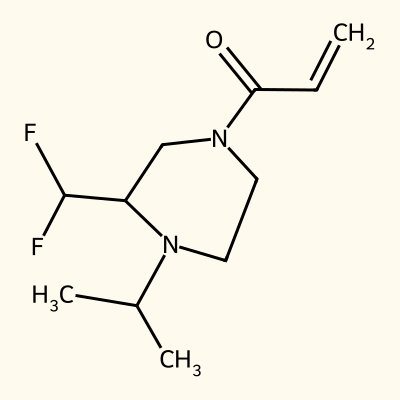 C=CC(=O)N1CCN(C(C)C)C(C(F)F)C1